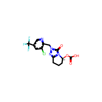 O=C(O)O[C@H]1CCCc2nn(Cc3ncc(C(F)(F)F)cc3Cl)c(=O)n21